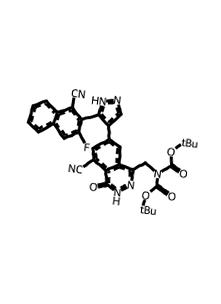 CC(C)(C)OC(=O)N(Cc1n[nH]c(=O)c2c(C#N)cc(-c3cn[nH]c3-c3c(F)cc4ccccc4c3C#N)cc12)C(=O)OC(C)(C)C